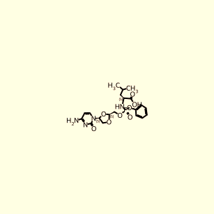 CC(C)C[C@H](NP(=O)(OC[C@H]1OC[C@@H](n2ccc(N)nc2=O)O1)Oc1ccccc1)C(=O)O